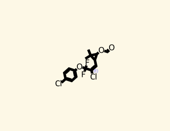 CC1(C)C(/C=C(/Cl)C(F)(F)Oc2ccc(Cl)cc2)C1OC=O